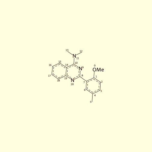 COc1ccc(C)cc1-c1nc(N(C)C)c2ccccc2n1